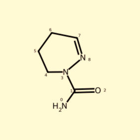 NC(=O)N1CCCC=N1